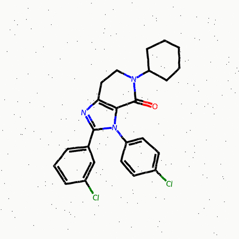 O=C1c2c(nc(-c3cccc(Cl)c3)n2-c2ccc(Cl)cc2)CCN1C1CCCCC1